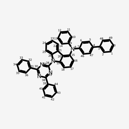 c1ccc(-c2ccc(N(c3ccccc3)c3cccc4c3c3ccccc3n4-c3nc(-c4ccccc4)nc(-c4ccccc4)n3)cc2)cc1